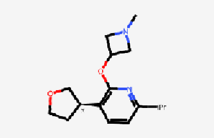 CC(C)c1ccc([C@H]2CCOC2)c(OC2CN(C)C2)n1